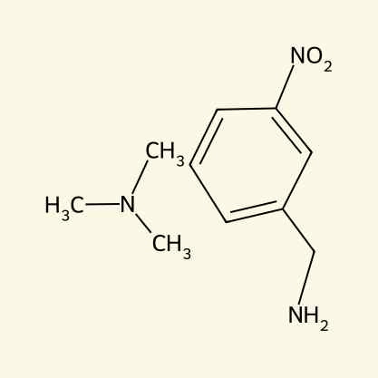 CN(C)C.NCc1cccc([N+](=O)[O-])c1